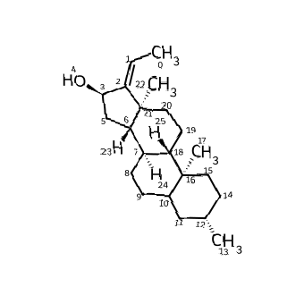 C/C=C1/[C@H](O)C[C@H]2[C@@H]3CCC4C[C@@H](C)CC[C@]4(C)[C@H]3CC[C@]12C